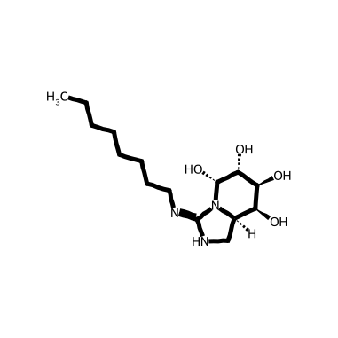 CCCCCCCC/N=C1/NC[C@@H]2[C@H](O)[C@H](O)[C@@H](O)[C@@H](O)N12